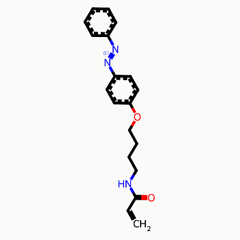 C=CC(=O)NCCCCOc1ccc(/N=N/c2ccccc2)cc1